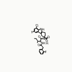 CCC(C)[C@H](NC(=O)Cc1ccccc1F)C(=O)N[C@@]1(C(=O)O)CCc2[nH]c3c(Cl)cc(F)cc3c2C1